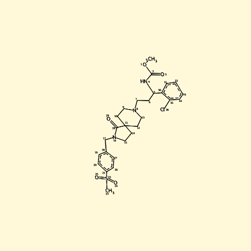 COC(=O)NC(CCN1CCC2(CC1)CCN(Cc1ccc(S(C)(=O)=O)cc1)C2=O)c1ccccc1Cl